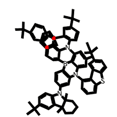 Cc1cc2c3c(c1)N(c1cccc4sc5ccc(C(C)(C)C)cc5c14)c1cc(N4c5ccc(C(C)(C)C)cc5C5(C)CCCCC45C)ccc1B3c1ccc3c(sc4ccc(C(C)(C)C)cc43)c1N2c1ccc(C(C)(C)C)cc1-c1ccccc1